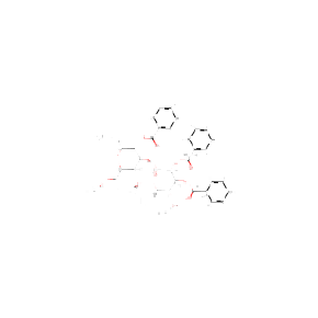 CCCCOCC1O[C@@H](OC)[C@@H](OC(=O)c2ccccc2)C(O[C@@H]2OC(C)[C@H](OCCCC)C(OC(=O)c3ccccc3)[C@@H]2OC(=O)c2ccccc2)[C@@H]1OCCCC